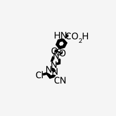 N#Cc1cc(Cl)nc(N2CCN(S(=O)(=O)c3ccc(NC(=O)O)cc3)CC2)n1